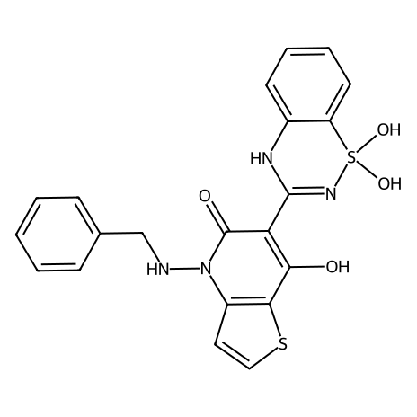 O=c1c(C2=NS(O)(O)c3ccccc3N2)c(O)c2sccc2n1NCc1ccccc1